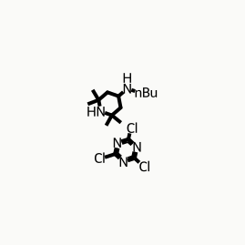 CCCCNC1CC(C)(C)NC(C)(C)C1.Clc1nc(Cl)nc(Cl)n1